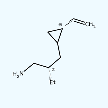 C=C[C@H]1CC1C[C@H](CC)CN